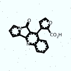 O=C(O)c1occc1-c1c2c(nc3ccccc13)-c1cccn1C2=O